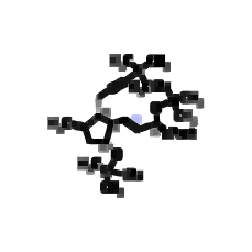 C=C1C[C@@H](O[Si](C)(C)C(C)(C)C)[C@H](/C=C/[C@H](CCCCC)O[Si](C)(C)C(C)(C)C)[C@H]1CC#C[Si](C)(C)C